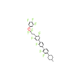 CC1CCC(c2ccc(-c3ccc(-c4cc(F)c(CCC(F)(F)Oc5cc(F)c(F)c(F)c5)c(F)c4)c(F)c3)c(F)c2F)CC1